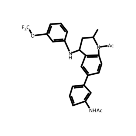 CC(=O)Nc1cccc(-c2ccc3c(c2)C(Nc2cccc(OC(F)(F)F)c2)CC(C)N3C(C)=O)c1